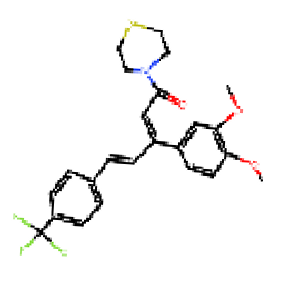 COc1ccc(C(=C\C(=O)N2CCSCC2)/C=C/c2ccc(C(F)(F)F)cc2)cc1OC